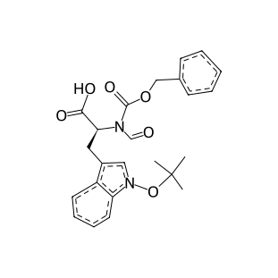 CC(C)(C)On1cc(C[C@@H](C(=O)O)N(C=O)C(=O)OCc2ccccc2)c2ccccc21